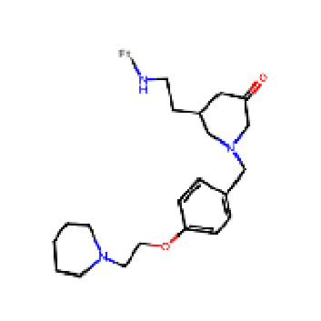 CCNCCC1CC(=O)CN(Cc2ccc(OCCN3CCCCC3)cc2)C1